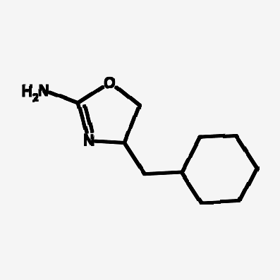 NC1=NC(CC2CCCCC2)CO1